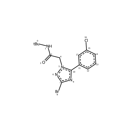 CC(C)(C)NC(=O)Cn1nc(Br)nc1-c1cccc(Cl)c1